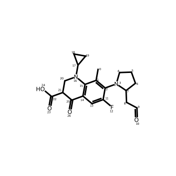 Cc1c(N2CCCC2CC=O)c(F)cc2c1N(C1CC1)CC(C(=O)O)C2=O